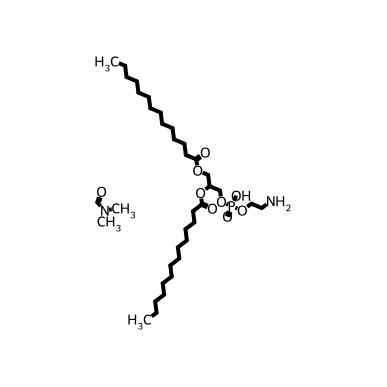 CCCCCCCCCCCCCC(=O)OCC(COP(=O)(O)OCCN)OC(=O)CCCCCCCCCCCCC.CN(C)C=O